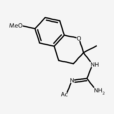 COc1ccc2c(c1)CCC(C)(NC(N)=NC(C)=O)O2